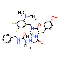 CN(C)c1cc(F)c(F)cc1CN1C[C@H]2N(C(=O)CN2N(C)C(=O)NCc2ccccc2)[C@@H](Cc2ccc(O)cc2)C1=O